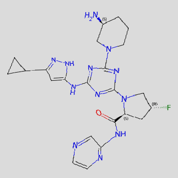 N[C@H]1CCCN(c2nc(Nc3cc(C4CC4)n[nH]3)nc(N3C[C@H](F)C[C@H]3C(=O)Nc3cnccn3)n2)C1